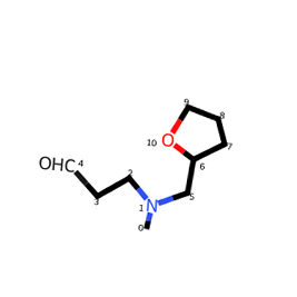 CN(CCC=O)CC1CCCO1